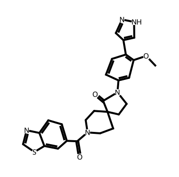 COc1cc(N2CCC3(CCN(C(=O)c4ccc5ncsc5c4)CC3)C2=O)ccc1-c1cn[nH]c1